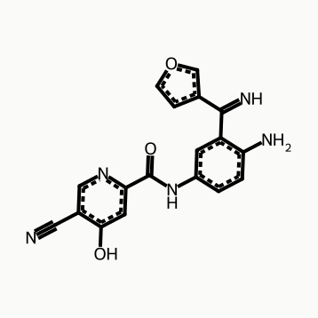 N#Cc1cnc(C(=O)Nc2ccc(N)c(C(=N)c3ccoc3)c2)cc1O